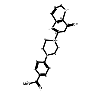 CNC(=O)c1ccc(N2CCN(C3=NC4=C(SCC=C4)C(=O)C3)CC2)cc1